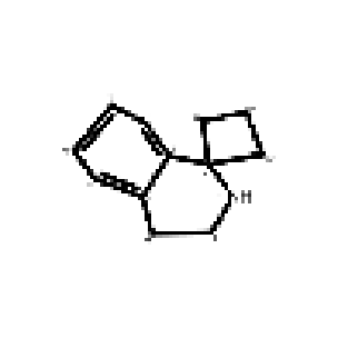 [c]1ccc2c(c1)CCNC21CCC1